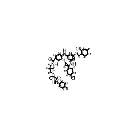 Cc1ccc(NC(=O)C(=O)NCC(C)(C)CNC(=O)c2ccc(Nc3nc(NC4(c5ccc(Cl)cc5)CC4)nc(OCc4ccccc4Cl)n3)cc2)cc1